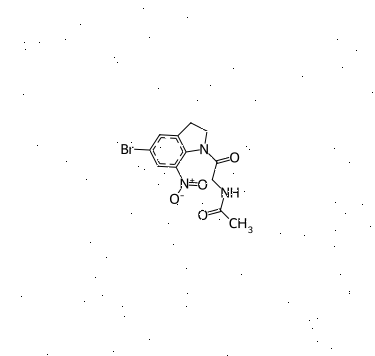 CC(=O)NCC(=O)N1CCc2cc(Br)cc([N+](=O)[O-])c21